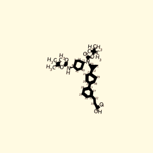 CC(C)(C)OC(=O)N[C@H]1CC[C@H](N(C(=O)OC(C)(C)C)C2CC2c2ccc(-c3cccc(CCC(=O)O)c3)cc2)CC1